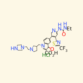 CCNC(=O)Nc1cc(-c2nc(C(F)(F)F)cs2)c(-c2ccc3c(c2)c(=O)c(C(=O)O)cn3CC2CCN(CCN3CCNCC3)C2)cn1.Cl